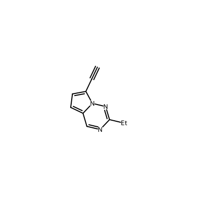 C#Cc1ccc2cnc(CC)nn12